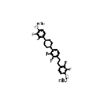 CCCCOc1ccc(CCc2ccc(C3CCC(c4ccc(OCCCC)c(F)c4F)CC3)c(F)c2F)c(F)c1F